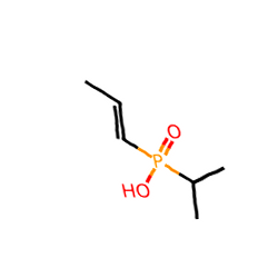 CC=CP(=O)(O)C(C)C